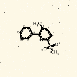 Cc1ccc(S(C)(=O)=O)nc1-c1ccccc1